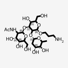 CC(=O)NC1[C@@H](O[C@@H]2C(O[C@H]3C[C@@H](O)[C@H](O)C(C)O3)[C@H](OCCCN)OC(CO)[C@@H]2O)OC(CO)[C@H](O)[C@@H]1O